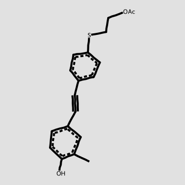 CC(=O)OCCSc1ccc(C#Cc2ccc(O)c(C)c2)cc1